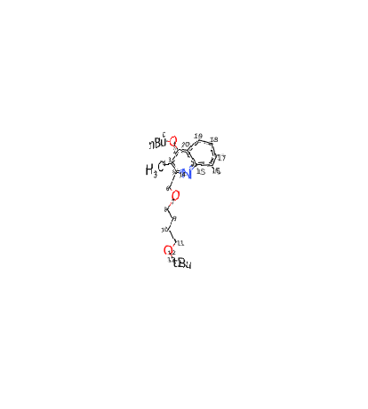 CCCCOc1c(C)c(COCCCCOC(C)(C)C)nc2ccccc12